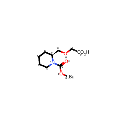 CC(C)(C)OC(=O)N1CCCC[C@H]1COCC(=O)O